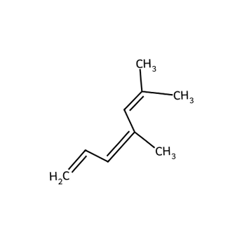 C=CC=C(C)C=C(C)C